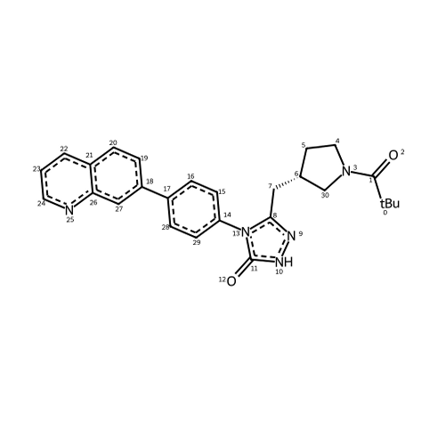 CC(C)(C)C(=O)N1CC[C@@H](Cc2n[nH]c(=O)n2-c2ccc(-c3ccc4cccnc4c3)cc2)C1